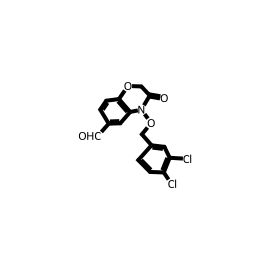 O=Cc1ccc2c(c1)N(OCc1ccc(Cl)c(Cl)c1)C(=O)CO2